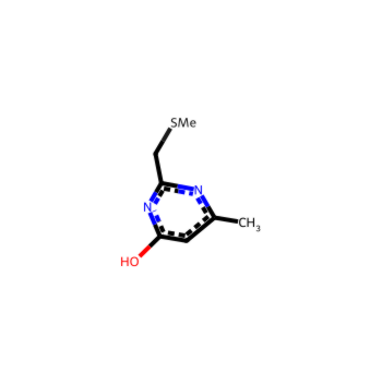 CSCc1nc(C)cc(O)n1